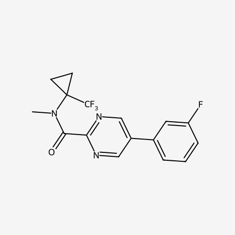 CN(C(=O)c1ncc(-c2cccc(F)c2)cn1)C1(C(F)(F)F)CC1